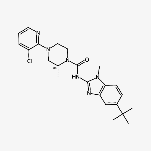 C[C@@H]1CN(c2ncccc2Cl)CCN1C(=O)Nc1nc2cc(C(C)(C)C)ccc2n1C